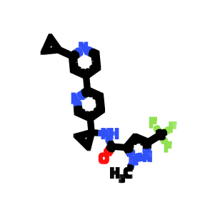 Cn1nc(C(F)(F)F)cc1C(=O)NC1(c2ccc(-c3ccnc(C4CC4)c3)nc2)CC1